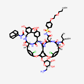 CN[C@H](CC(C)C)C(=O)N[C@H]1C(=O)N[C@@H](CC(=O)NS(=O)(=O)c2ccc(OCCOCCOC)cc2)C(=O)N[C@H]2C(=O)N[C@H]3C(=O)N[C@H](C(=O)N[C@H](C(=O)NC4C5CC6CC(C5)CC4C6)c4cc(O)cc(O)c4-c4cc3ccc4O)[C@H](O)c3ccc(c(Cl)c3)Oc3cc2cc(c3O[C@@H]2O[C@H](CN)[C@@H](O)[C@H](O)[C@H]2O)Oc2ccc(cc2Cl)[C@H]1O